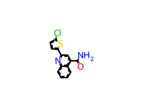 NC(=O)c1cc(-c2ccc(Cl)s2)nc2ccccc12